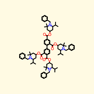 CC(C)C1CC(OC(=O)c2ccc(-c3ccc(C(=O)OC4CC(C(C)C)N(Cc5ccccc5)C(C)(C)C4)c(C(=O)OC4CC(C(C)C)N(Cc5ccccc5)C(C)(C)C4)c3)c(C(=O)OC3CC(C(C)C)N(Cc4ccccc4)C(C)(C)C3)c2)CC(C)(C)N1Cc1ccccc1